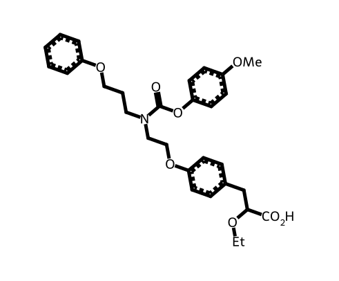 CCOC(Cc1ccc(OCCN(CCCOc2ccccc2)C(=O)Oc2ccc(OC)cc2)cc1)C(=O)O